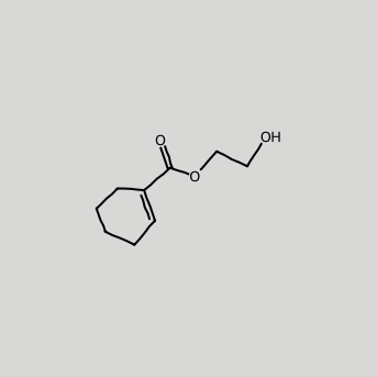 O=C(OCCO)C1=CCCCC1